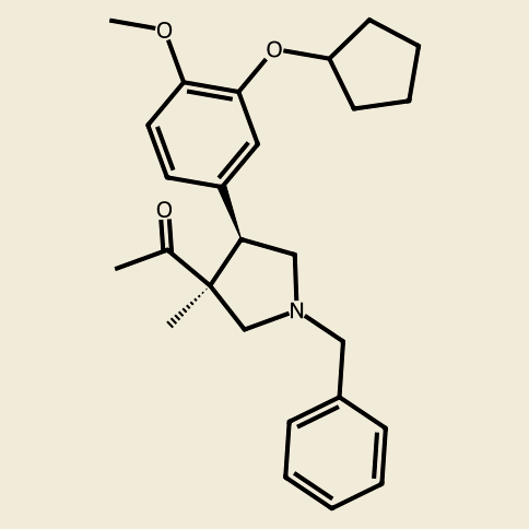 COc1ccc([C@H]2CN(Cc3ccccc3)C[C@@]2(C)C(C)=O)cc1OC1CCCC1